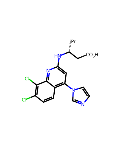 CC(C)[C@H](CC(=O)O)Nc1cc(-n2ccnc2)c2ccc(Cl)c(Cl)c2n1